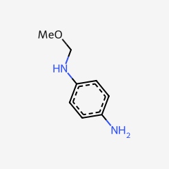 COCNc1ccc(N)cc1